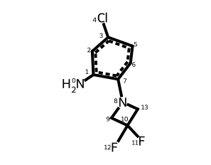 Nc1cc(Cl)ccc1N1CC(F)(F)C1